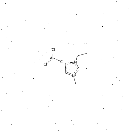 CCn1cc[n+](C)c1.[Cl][Al]([Cl])[Cl]